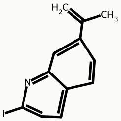 C=C(C)c1ccc2ccc(I)nc2c1